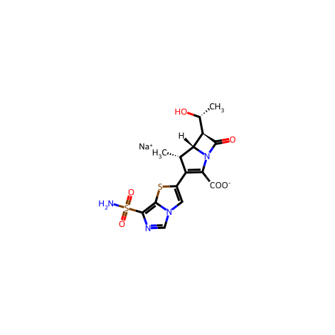 C[C@@H](O)[C@H]1C(=O)N2C(C(=O)[O-])=C(c3cn4cnc(S(N)(=O)=O)c4s3)[C@H](C)[C@H]12.[Na+]